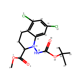 COC(=O)C1CCc2c(Cl)cc(Cl)cc2N1NC(=O)OC(C)(C)C